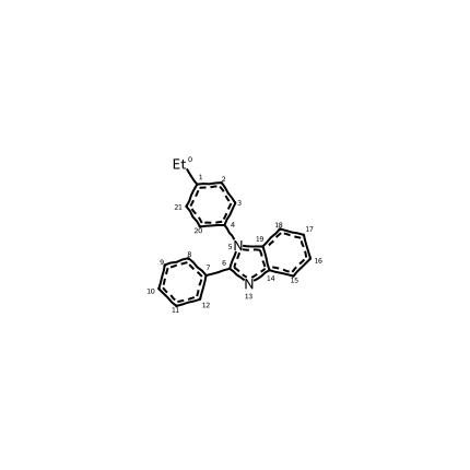 CCc1ccc(-n2c(-c3ccccc3)nc3ccccc32)cc1